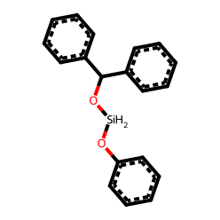 c1ccc(O[SiH2]OC(c2ccccc2)c2ccccc2)cc1